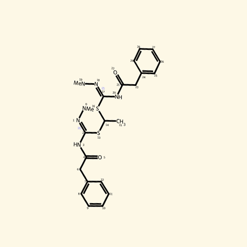 CN/N=C(/NC(=O)Cc1ccccc1)SC(C)S/C(=N\NC)NC(=O)Cc1ccccc1